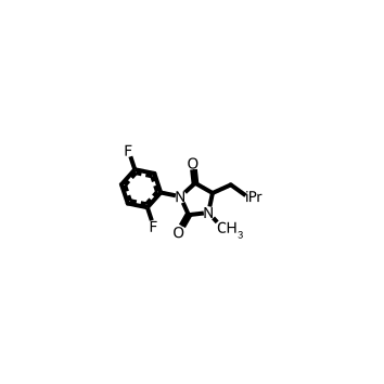 CC(C)CC1C(=O)N(c2cc(F)ccc2F)C(=O)N1C